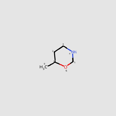 CC1CCNCO1